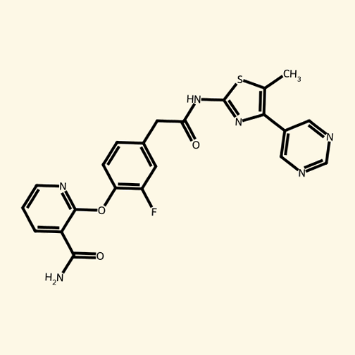 Cc1sc(NC(=O)Cc2ccc(Oc3ncccc3C(N)=O)c(F)c2)nc1-c1cncnc1